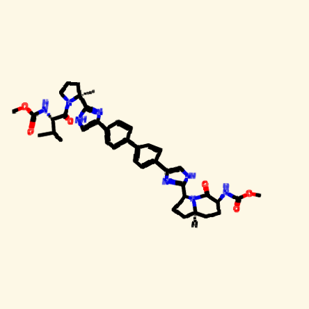 COC(=O)N[C@H]1CC[C@H]2CCC(c3nc(-c4ccc(-c5ccc(-c6c[nH]c([C@]7(C)CCCN7C(=O)[C@@H](NC(=O)OC)C(C)C)n6)cc5)cc4)c[nH]3)N2C1=O